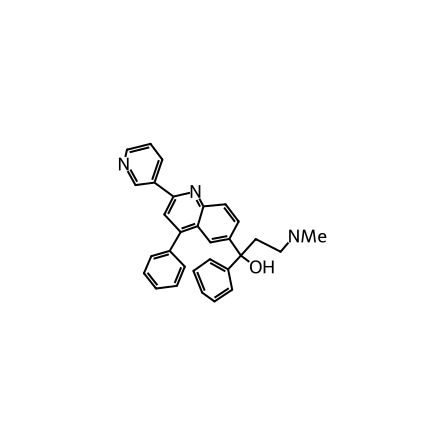 CNCCC(O)(c1ccccc1)c1ccc2nc(-c3cccnc3)cc(-c3ccccc3)c2c1